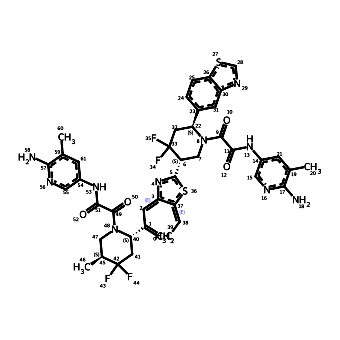 C=C(/C=c1/nc([C@H]2CN(C(=O)C(=O)Nc3cnc(N)c(C)c3)[C@H](c3ccc4scnc4c3)CC2(F)F)s/c1=C/C)[C@@H]1CC(F)(F)[C@@H](C)CN1C(=O)C(=O)Nc1cnc(N)c(C)c1